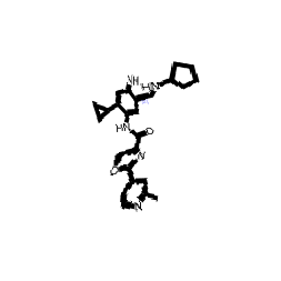 Cc1cc(-c2nc(C(=O)NC3=C/C(=C/NC4CCCC4)C(=N)C=C3C3CC3)co2)ccn1